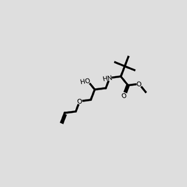 C=CCOCC(O)CNC(C(=O)OC)C(C)(C)C